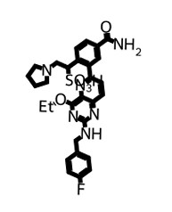 CCOc1nc(NCc2ccc(F)cc2)nc2ccc(-c3cc(C(N)=O)ccc3C(CN3CCCC3)S(=O)(=O)O)nc12